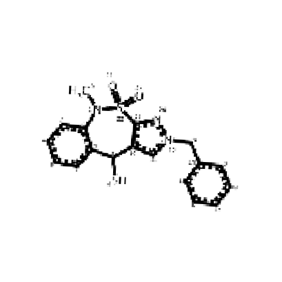 CN1c2ccccc2C(S)c2cn(Cc3ccccc3)nc2S1(=O)=O